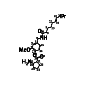 COc1cc(CNC(=O)CCCC/C=C/C(C)C)ccc1OC(=O)[C@H]1CCC[C@H]1N